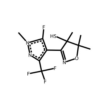 Cn1nc(C(F)(F)F)c(C2=NOC(C)(C)C2(C)S)c1F